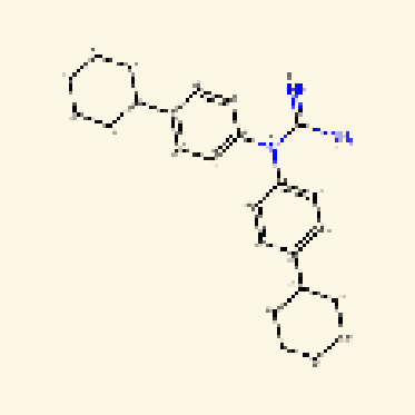 N=C(N)N(c1ccc(C2CCCCC2)cc1)c1ccc(C2CCCCC2)cc1